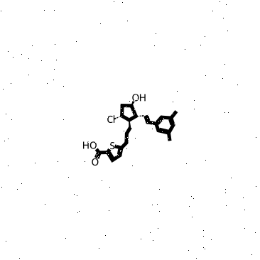 Cc1cc(C)cc(C=C[C@@H]2[C@@H](CCCc3ccc(C(=O)O)s3)[C@H](Cl)C[C@H]2O)c1